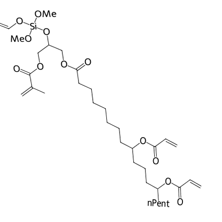 C=CO[Si](OC)(OC)OC(COC(=O)CCCCCCCC(CCCC(CCCCC)OC(=O)C=C)OC(=O)C=C)COC(=O)C(=C)C